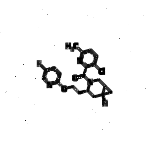 Cc1ccc(Cl)c(C(=O)N2CC3C[C@@H]3C[C@H]2CCOc2ccc(F)cn2)n1